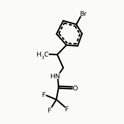 CC(CNC(=O)C(F)(F)F)c1ccc(Br)cc1